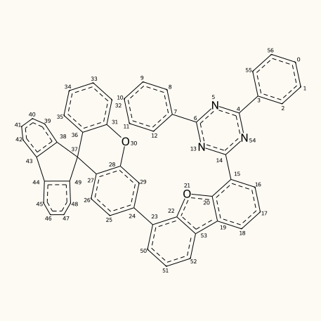 c1ccc(-c2nc(-c3ccccc3)nc(-c3cccc4c3oc3c(-c5ccc6c(c5)Oc5ccccc5C65c6ccccc6-c6ccccc65)cccc34)n2)cc1